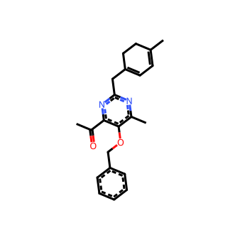 CC(=O)c1nc(CC2=CC=C(C)CC2)nc(C)c1OCc1ccccc1